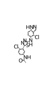 CC(=O)Nc1ccc(Cl)c(-c2nnc(Nc3ccc4[nH]ncc4c3Cl)s2)c1